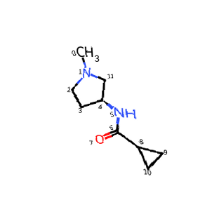 CN1CC[C@H](NC(=O)C2CC2)C1